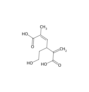 C=C(C(=O)O)C(C=C(C)C(=O)O)CCO